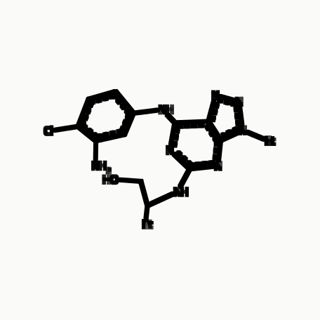 CCC(CO)Nc1nc(Nc2ccc(Cl)c(N)c2)c2nnn(CC)c2n1